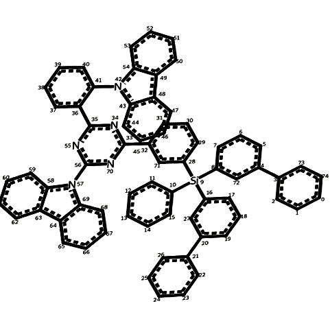 c1ccc(-c2cccc([Si](c3ccccc3)(c3cccc(-c4ccccc4)c3)c3cccc(-c4nc(-c5ccccc5-n5c6ccccc6c6ccccc65)nc(-n5c6ccccc6c6ccccc65)n4)c3)c2)cc1